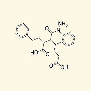 NN1C(=O)C(C(CCc2ccccc2)C(=O)O)C(CCC(=O)O)c2ccccc21